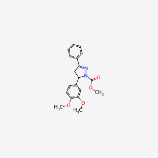 COC(=O)N1N=C(c2ccccc2)CC1c1ccc(OC)c(OC)c1